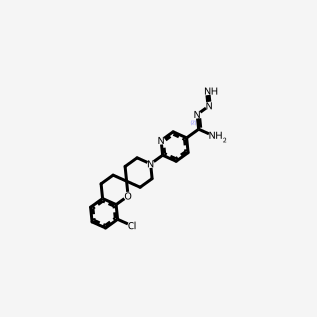 N=N/N=C(\N)c1ccc(N2CCC3(CCc4cccc(Cl)c4O3)CC2)nc1